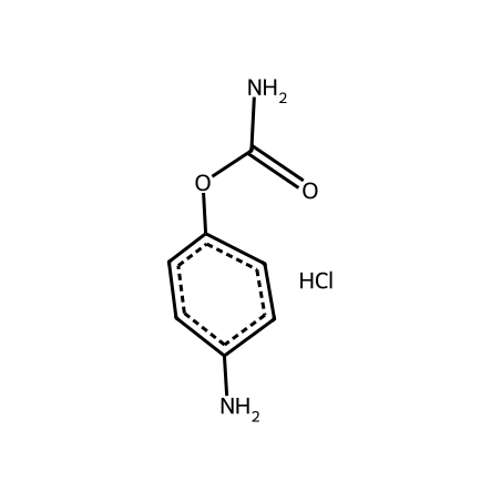 Cl.NC(=O)Oc1ccc(N)cc1